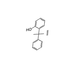 C=C.CC(C)(c1ccccc1)c1ccccc1O